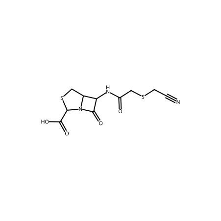 N#CCSCC(=O)NC1C(=O)N2C(C(=O)O)SCC12